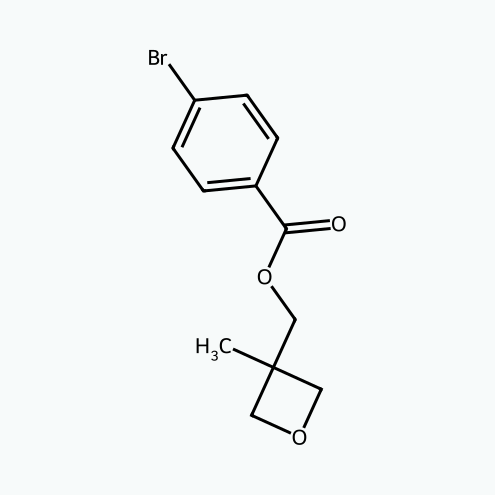 CC1(COC(=O)c2ccc(Br)cc2)COC1